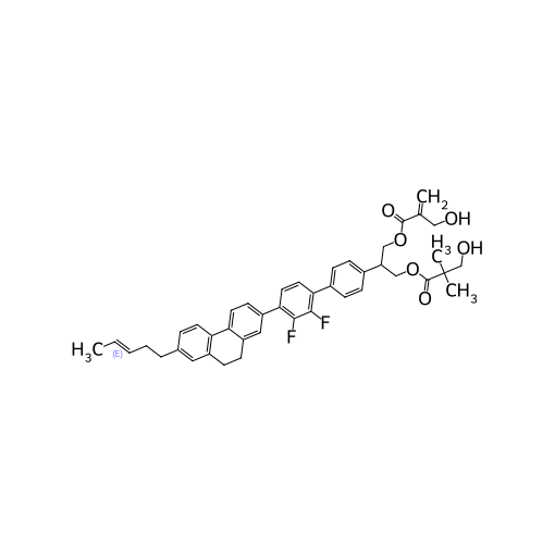 C=C(CO)C(=O)OCC(COC(=O)C(C)(C)CO)c1ccc(-c2ccc(-c3ccc4c(c3)CCc3cc(CC/C=C/C)ccc3-4)c(F)c2F)cc1